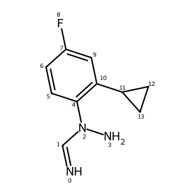 N=CN(N)c1ccc(F)cc1C1CC1